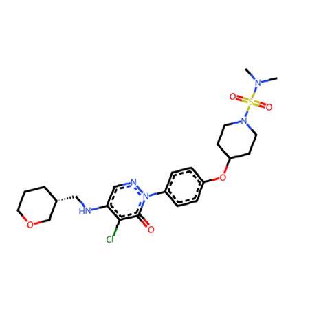 CN(C)S(=O)(=O)N1CCC(Oc2ccc(-n3ncc(NC[C@H]4CCCOC4)c(Cl)c3=O)cc2)CC1